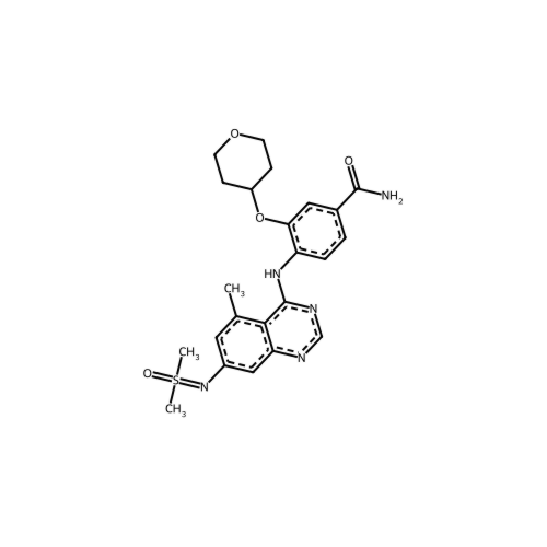 Cc1cc(N=S(C)(C)=O)cc2ncnc(Nc3ccc(C(N)=O)cc3OC3CCOCC3)c12